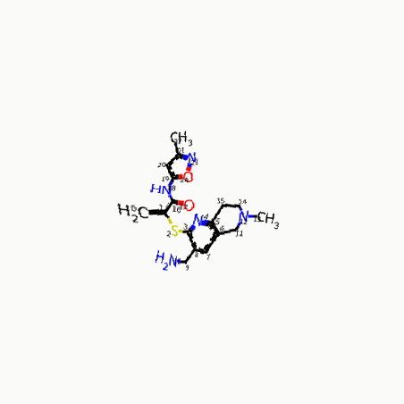 C=C(Sc1nc2c(cc1CN)CN(C)CC2)C(=O)Nc1cc(C)no1